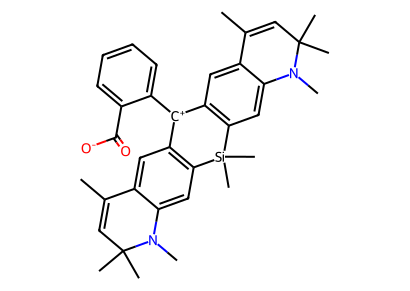 CC1=CC(C)(C)N(C)c2cc3c(cc21)[C+](c1ccccc1C(=O)[O-])c1cc2c(cc1[Si]3(C)C)N(C)C(C)(C)C=C2C